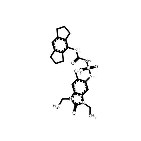 CCn1c(=O)n(CC)c2cc(NS(=O)(=O)NC(=O)Nc3c4c(cc5c3CCC5)CCC4)c(C)cc21